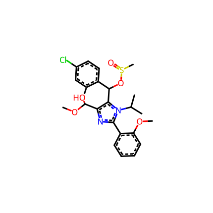 COc1ccccc1-c1nc(C(O)OC)c(C(OS(C)=O)c2ccc(Cl)cc2C)n1C(C)C